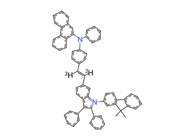 [2H]/C(=C(/[2H])c1ccc2c(-c3ccccc3)c(-c3ccccc3)n(-c3ccc4c(c3)C(C)(C)c3ccccc3-4)c2c1)c1ccc(N(c2ccccc2)c2cc3ccccc3c3ccccc23)cc1